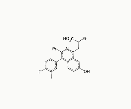 CCC(Cc1nc(C(C)C)c(-c2ccc(F)c(C)c2)c2ccc(O)cc12)C(=O)O